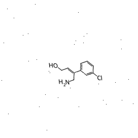 NCC(=CCO)c1cccc(Cl)c1